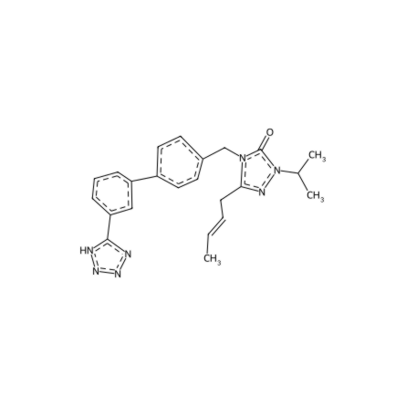 CC=CCc1nn(C(C)C)c(=O)n1Cc1ccc(-c2cccc(-c3nnn[nH]3)c2)cc1